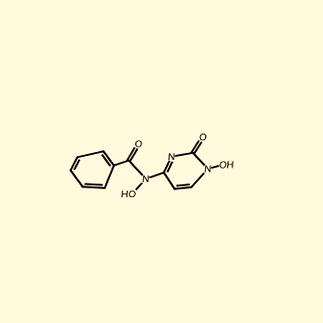 O=C(c1ccccc1)N(O)c1ccn(O)c(=O)n1